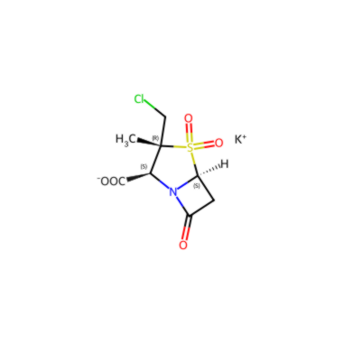 C[C@]1(CCl)[C@H](C(=O)[O-])N2C(=O)C[C@@H]2S1(=O)=O.[K+]